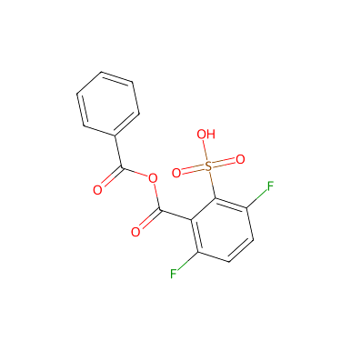 O=C(OC(=O)c1c(F)ccc(F)c1S(=O)(=O)O)c1ccccc1